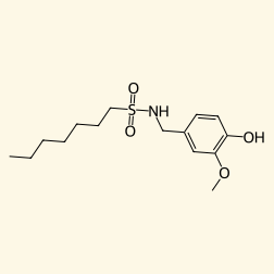 CCCCCCCS(=O)(=O)NCc1ccc(O)c(OC)c1